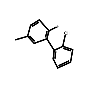 Cc1ccc(F)c(-c2ccccc2O)c1